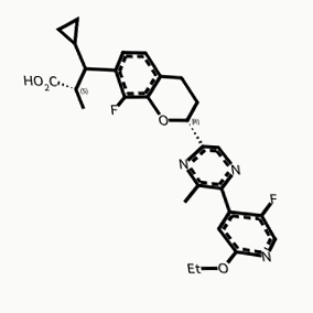 CCOc1cc(-c2ncc([C@H]3CCc4ccc(C(C5CC5)[C@H](C)C(=O)O)c(F)c4O3)nc2C)c(F)cn1